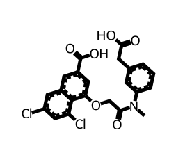 CN(C(=O)COc1cc(C(=O)O)cc2cc(Cl)cc(Cl)c12)c1cccc(CC(=O)O)c1